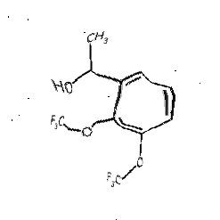 CC(O)c1cccc(OC(F)(F)F)c1OC(F)(F)F